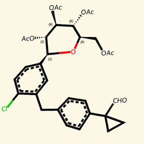 CC(=O)OC[C@H]1O[C@@H](c2ccc(Cl)c(Cc3ccc(C4(C=O)CC4)cc3)c2)[C@H](OC(C)=O)[C@@H](OC(C)=O)[C@@H]1OC(C)=O